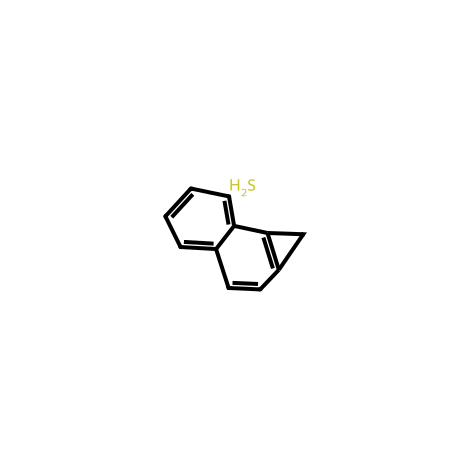 S.c1ccc2c3c(ccc2c1)C3